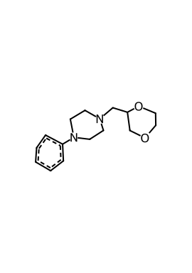 c1ccc(N2CCN(CC3COCCO3)CC2)cc1